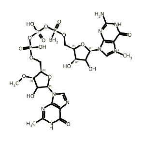 BP(=O)(OC[C@H]1O[C@@H](n2c[n+](C)c3c(=O)[nH]c(N)nc32)C(O)[C@H]1O)OP(=O)(O)OP(=O)(O)OC[C@H]1O[C@@H](n2cnc3c(=O)[nH]c(C)nc32)C(O)[C@H]1OC